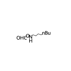 CCCCCCCCNOC=O